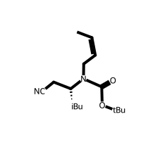 C/C=C\CN(C(=O)OC(C)(C)C)C(CC#N)[C@@H](C)CC